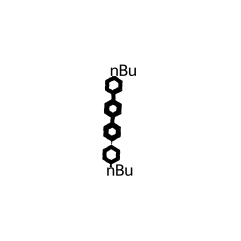 CCCCC1CC=C(c2ccc(-c3ccc([C@H]4CC[C@H](CCCC)CC4)cc3)cc2)CC1